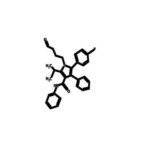 CC(C)c1c(C(=O)Nc2ccccc2)c(-c2ccccc2)c(-c2ccc(F)cc2)n1CCCC=O